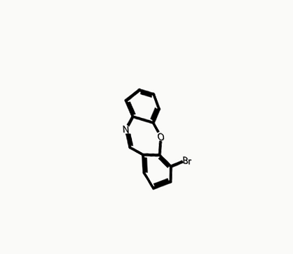 Brc1cccc2c1Oc1ccccc1N=C2